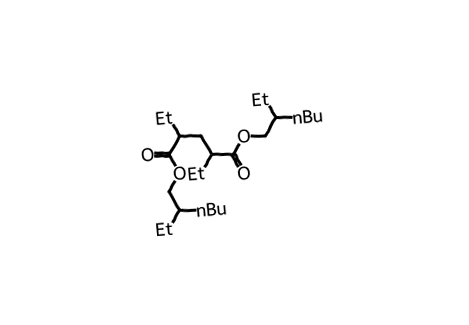 CCCCC(CC)COC(=O)C(CC)CC(CC)C(=O)OCC(CC)CCCC